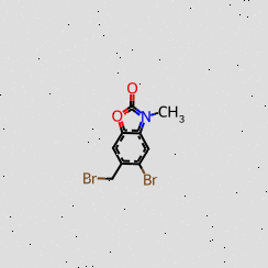 Cn1c(=O)oc2cc(CBr)c(Br)cc21